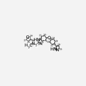 CN(Cc1nc2cc(Oc3ccc(-c4ccn[nH]4)cc3)ccc2[nH]1)CC1CCOC1